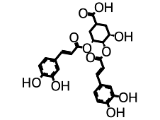 O=C(/C=C/c1ccc(O)c(O)c1)O[C@@H]1[C@H](O)CC(C(=O)O)C[C@H]1OC(=O)/C=C/c1ccc(O)c(O)c1